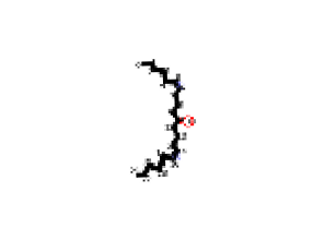 CCCCC/C=C\CCCC(=O)CCC/C=C\CCCCC